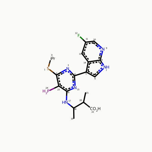 CC(C)Sc1nc(-c2c[nH]c3ncc(F)cc23)nc(NC(C)C(C)C(=O)O)c1P